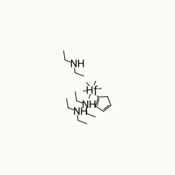 CCNCC.CCNCC.CCNCC.[CH3][Hf]([CH3])([CH3])([CH3])([CH3])[C]1=CC=CC1